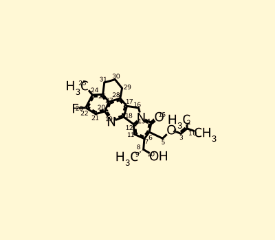 CC(C)=COCc1c([C@@H](C)O)cc2n(c1=O)Cc1c-2nc2cc(F)c(C)c3c2c1CCC3